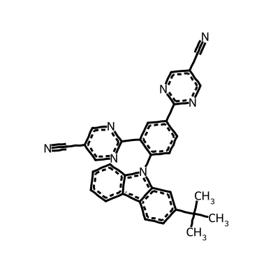 CC(C)(C)c1ccc2c3ccccc3n(-c3ccc(-c4ncc(C#N)cn4)cc3-c3ncc(C#N)cn3)c2c1